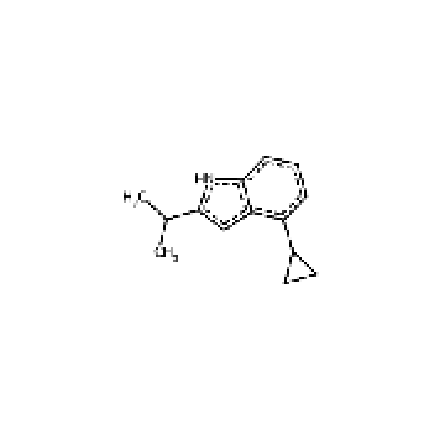 CC(C)c1cc2c(C3CC3)cccc2[nH]1